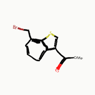 COC(=O)c1csc2c(CBr)cccc12